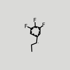 CC[CH]c1cc(F)c(F)c(F)c1